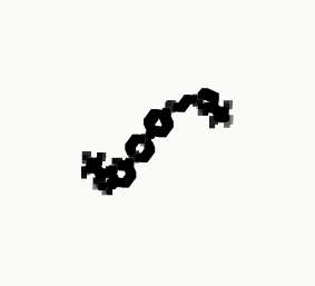 FC(F)(F)c1ccn(CCOc2ccc(N3CCN(C4=Nn5c(nnc5C(F)(F)F)CC4)CC3)cc2)n1